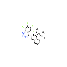 CC(C)(C)c1cc(-c2nnnc3c(F)c(F)c(F)c(F)c23)cc2ccccc12